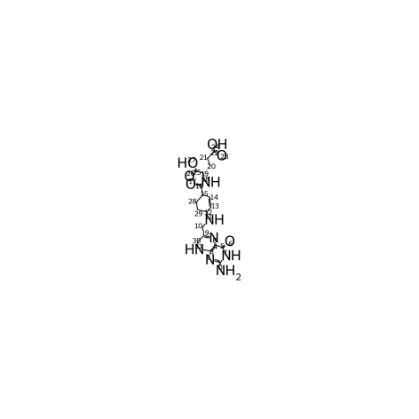 Nc1nc2c(c(=O)[nH]1)N=C(CNC1C=CC(C(=O)N[C@@H](CCC(=O)O)C(=O)O)CC1)CN2